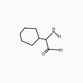 CCNC(C(=O)CC)C1CCCCC1